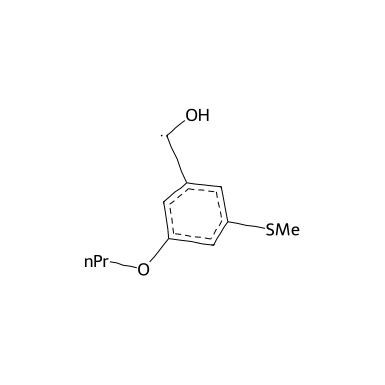 CCCOc1cc([CH]O)cc(SC)c1